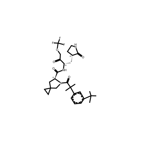 CC(C)(C)c1cccc(C(C)(C)C(=O)N2CC3(CC3)C[C@H]2C(=O)N[C@@H](C[C@@H]2CCNC2=O)C(=O)COC(F)(F)F)c1